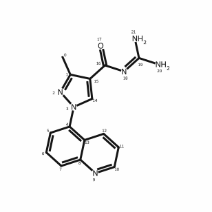 Cc1nn(-c2cccc3ncccc23)cc1C(=O)N=C(N)N